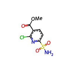 COC(=O)c1ccc(S(N)(=O)=O)nc1Cl